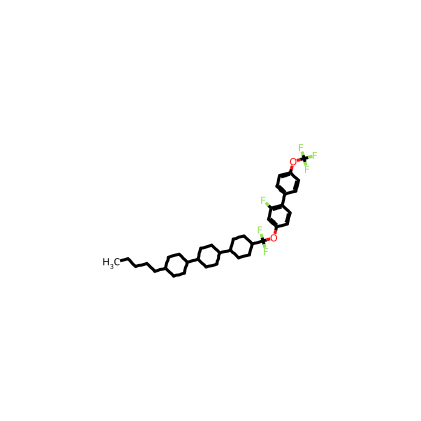 CCCCCC1CCC(C2CCC(C3CCC(C(F)(F)Oc4ccc(-c5ccc(OC(F)(F)F)cc5)c(F)c4)CC3)CC2)CC1